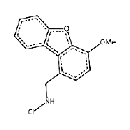 COc1ccc(CNCl)c2c1oc1ccccc12